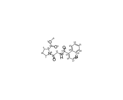 COC(=O)C1CCCN1C(=O)CNC(=O)c1ccnc2ccccc12